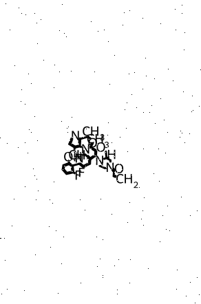 C=CC(=O)N1CCN2c3c(c(=O)n(-c4c(C)ccnc4C(C)C)c4nc(-c5c(O)cccc5F)c(F)cc34)OC[C@H]2C1